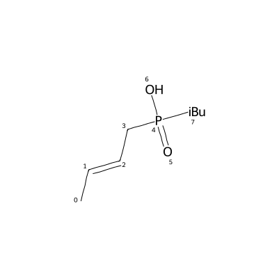 C/C=C/CP(=O)(O)C(C)CC